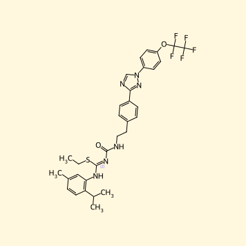 CCS/C(=N\C(=O)NCCc1ccc(-c2ncn(-c3ccc(OC(F)(F)C(F)(F)F)cc3)n2)cc1)Nc1cc(C)ccc1C(C)C